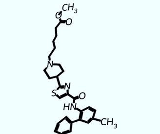 COC(=O)CCCCCN1CCC(c2nc(C(=O)Nc3ccc(C)cc3-c3ccccc3)cs2)CC1